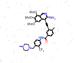 COc1cc2c(C#Cc3cc(C(=O)Nc4ccc(CN5CCN(C)CC5)c(C(F)(F)F)c4)ccc3C)c(N)ncc2c(OC)c1OC